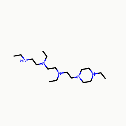 CCNCCN(CC)CCN(CC)CCN1CCN(CC)CC1